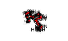 CC1OC(COc2ccc(Cc3cc([C@@H]4O[C@H](COc5ccc6c(c5)C(COc5ccc(Cc7cc([C@@H]8O[C@H](COc9ccc%10c(c9)C(COc9ccc(Cc%11cc([C@@H]%12O[C@H](CO)[C@@H](O)[C@H](O)[C@H]%12O)ccc%11C#N)cc9)OC%10C)[C@@H](O)[C@H](O)[C@H]8O)ccc7F)cc5)OC6)[C@@H](O)[C@H](O)[C@H]4O)ccc3F)cc2)c2ccccc21